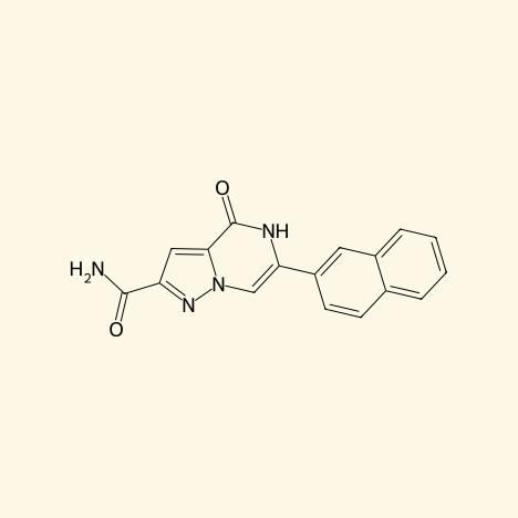 NC(=O)c1cc2c(=O)[nH]c(-c3ccc4ccccc4c3)cn2n1